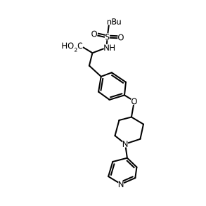 CCCCS(=O)(=O)NC(Cc1ccc(OC2CCN(c3ccncc3)CC2)cc1)C(=O)O